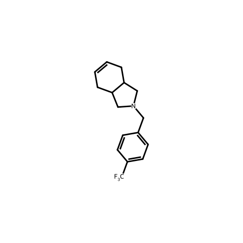 FC(F)(F)c1ccc(CN2CC3CC=CCC3C2)cc1